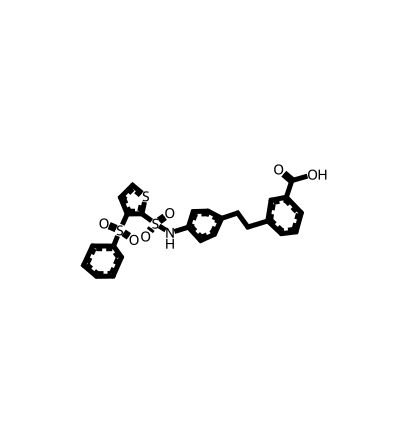 O=C(O)c1cccc(CCc2ccc(NS(=O)(=O)c3sccc3S(=O)(=O)c3ccccc3)cc2)c1